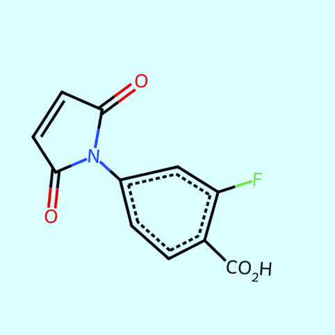 O=C(O)c1ccc(N2C(=O)C=CC2=O)cc1F